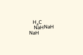 C.[NaH].[NaH].[NaH]